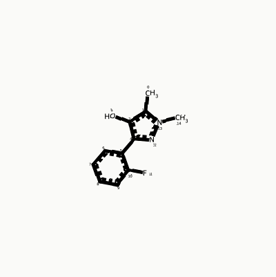 Cc1c(O)c(-c2ccccc2F)nn1C